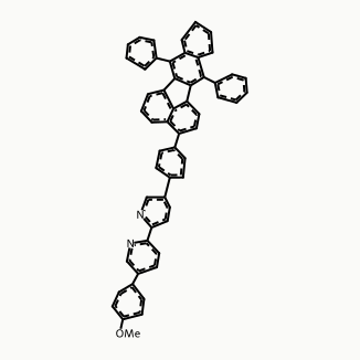 COc1ccc(-c2ccc(-c3ccc(-c4ccc(-c5ccc6c7c(cccc57)-c5c-6c(-c6ccccc6)c6ccccc6c5-c5ccccc5)cc4)cn3)nc2)cc1